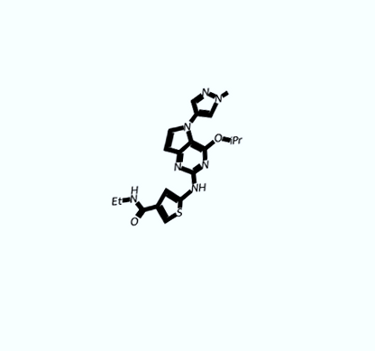 CCNC(=O)c1csc(Nc2nc(OC(C)C)c3c(ccn3-c3cnn(C)c3)n2)c1